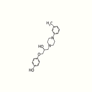 Cc1cccc(N2CCN(C[C@H](O)COc3ccc(O)cc3)CC2)c1